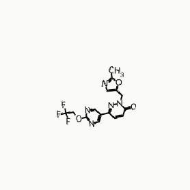 Cc1ncc(Cn2nc(-c3cnc(OCC(F)(F)F)nc3)ccc2=O)o1